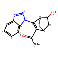 COC(=O)C1=C(n2nnc3ccccc32)C2OC1CC2O